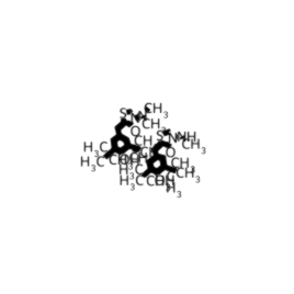 CN(C)N1CSC(=Cc2cc(C(C)(C)C)c(O)c(C(C)(C)C)c2)C1=O.CNN1CSC(=Cc2cc(C(C)(C)C)c(O)c(C(C)(C)C)c2)C1=O